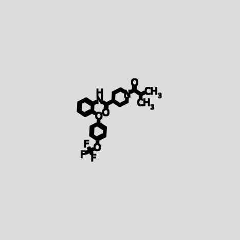 CC(C)C(=O)N1CCC(C(=O)Nc2ccccc2Oc2ccc(OC(F)(F)F)cc2)CC1